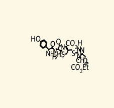 CCOC(=O)COCc1nnc(SCC2=C(C(=O)O)N3C(=O)C(NC(=O)C(N)c4ccc(O)cc4)[C@H]3SC2)n1C